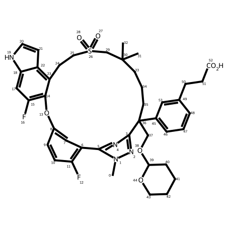 Cn1nc2nc1-c1cc(ccc1F)Oc1c(F)cc3[nH]ccc3c1CCS(=O)(=O)CC(C)(C)CCCC2(COC1CCCCO1)c1cccc(CCC(=O)O)c1